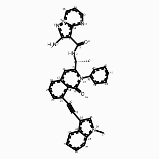 C[C@@H](NC(=O)c1c(N)nn2cccnc12)c1cc2cccc(C#Cc3cn(C)c4ccccc34)c2c(=O)n1-c1ccccc1